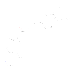 COc1ccc(CNC(=O)c2ccc3ncccc3c2)cc1C